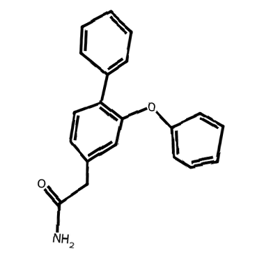 NC(=O)Cc1ccc(-c2ccccc2)c(Oc2ccccc2)c1